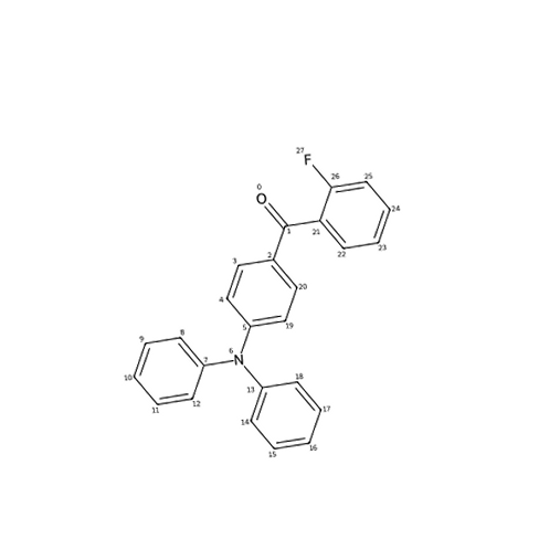 O=C(c1ccc(N(c2ccccc2)c2ccccc2)cc1)c1ccccc1F